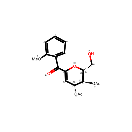 COc1ccccc1C(=O)C1=C[C@@H](OC(C)=O)[C@H](OC(C)=O)[C@@H](CO)O1